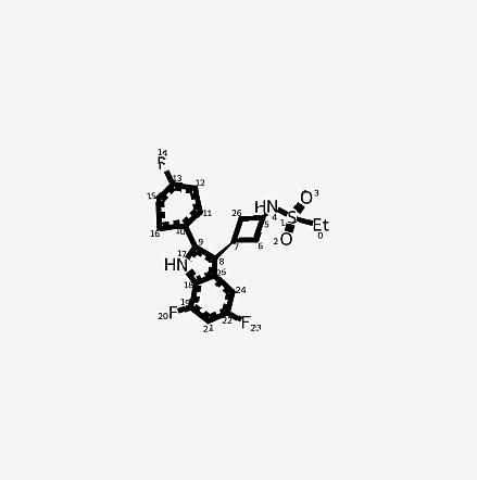 CCS(=O)(=O)N[C@H]1C[C@@H](c2c(-c3ccc(F)cc3)[nH]c3c(F)cc(F)cc32)C1